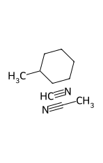 C#N.CC#N.CC1CCCCC1